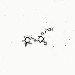 OCCOc1cc(Cl)nc(SCc2cccc(F)c2F)n1